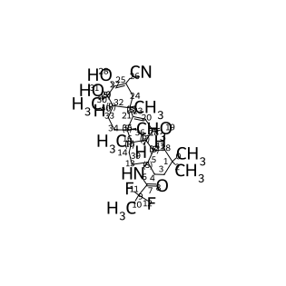 CC1(C)CC[C@]2(NC(=O)C(C)(F)F)CC[C@]3(C)[C@H](C(=O)C=C4[C@@]5(C)CC(C#N)=C(O)[C@@](C)(O)[C@@H]5CC[C@]43C)[C@@H]2C1